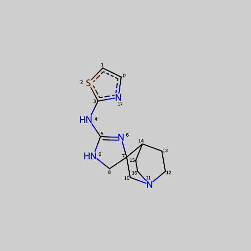 c1csc(NC2=NC3(CN2)CN2CCC3CC2)n1